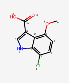 COc1ccc(Cl)c2[nH]cc(C(=O)O)c12